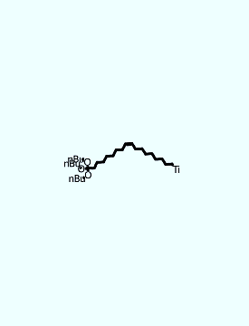 CCCCOC(CCCCCCC/C=C\CCCCCCC[CH2][Ti])(OCCCC)OCCCC